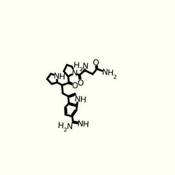 N=C(N)c1ccc2c(CC(C(=O)C3CCCN3C(=O)[C@@H](N)CC(N)=O)C3CCCN3)c[nH]c2c1